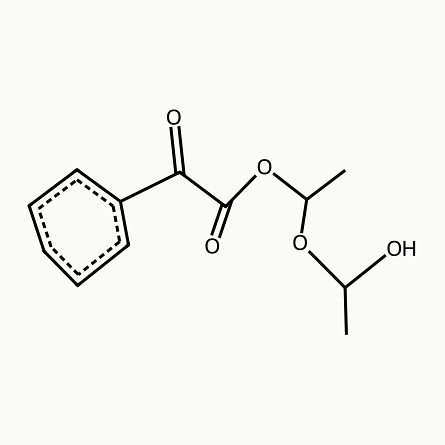 CC(O)OC(C)OC(=O)C(=O)c1ccccc1